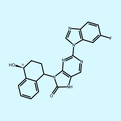 O=c1[nH]c2cnc(-n3cnc4ccc(F)cc43)nc2n1C1CC[C@H](O)c2ccccc21